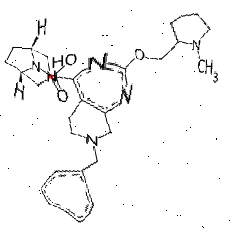 CN1CCCC1COc1nc2c(c(N3C[C@H]4CC[C@@H](C3)N4C(=O)O)n1)CCN(Cc1ccccc1)C2